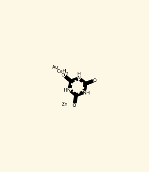 O=c1[nH]c(=O)[nH]c(=O)[nH]1.[Au].[CaH2].[Zn]